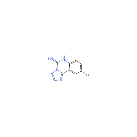 N=c1[nH]c2ccc(Cl)cc2c2ncnn12